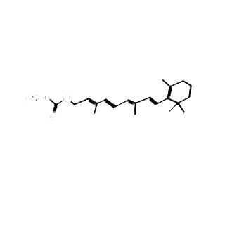 CCCCCCCCCC(=O)OC/C=C(C)/C=C/C=C(C)/C=C/C1=C(C)CCCC1(C)C